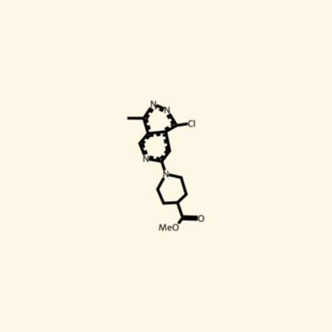 COC(=O)C1CCN(c2cc3c(Cl)nnc(C)c3cn2)CC1